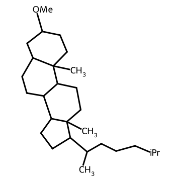 COC1CCC2(C)C(CCC3C2CCC2(C)C(C(C)CCCC(C)C)CCC32)C1